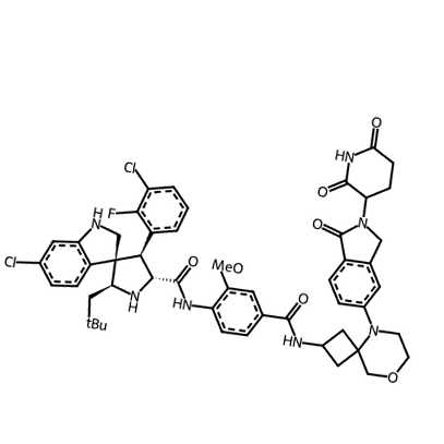 COc1cc(C(=O)NC2CC3(COCCN3c3ccc4c(c3)CN(C3CCC(=O)NC3=O)C4=O)C2)ccc1NC(=O)[C@@H]1N[C@@H](CC(C)(C)C)[C@@]2(CNc3cc(Cl)ccc32)[C@H]1c1cccc(Cl)c1F